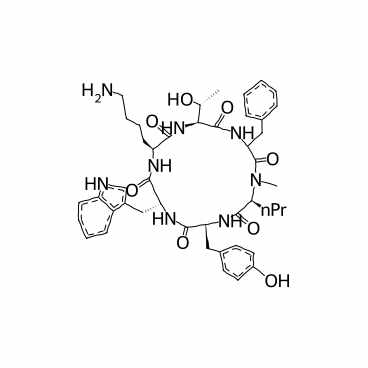 CCC[C@H]1C(=O)N[C@@H](Cc2ccc(O)cc2)C(=O)N[C@H](Cc2c[nH]c3ccccc23)C(=O)N[C@@H](CCCCN)C(=O)N[C@@H]([C@@H](C)O)C(=O)NC(Cc2ccccc2)C(=O)N1C